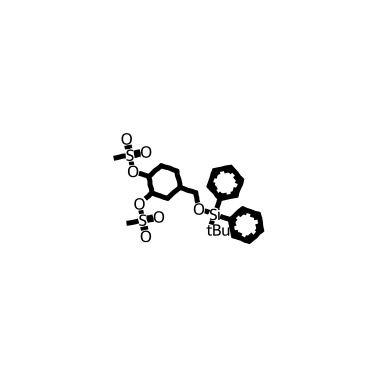 CC(C)(C)[Si](OCC1CCC(OS(C)(=O)=O)C(OS(C)(=O)=O)C1)(c1ccccc1)c1ccccc1